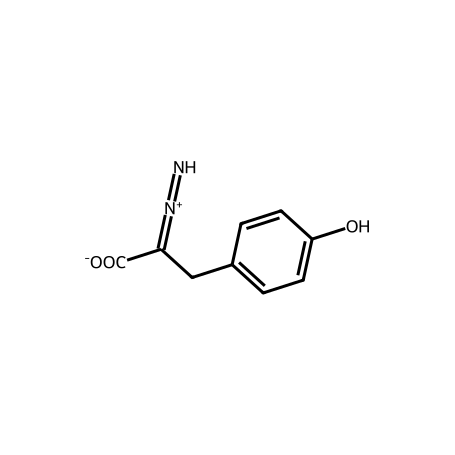 N=[N+]=C(Cc1ccc(O)cc1)C(=O)[O-]